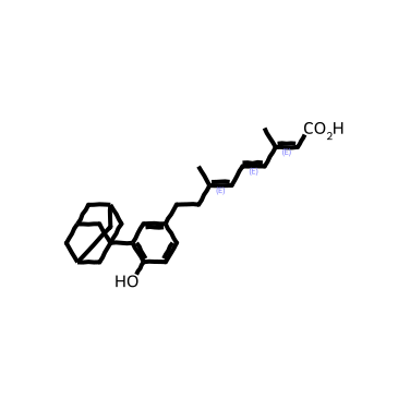 CC(/C=C/C=C(\C)CCc1ccc(O)c(C23CC4CC(CC(C4)C2)C3)c1)=C\C(=O)O